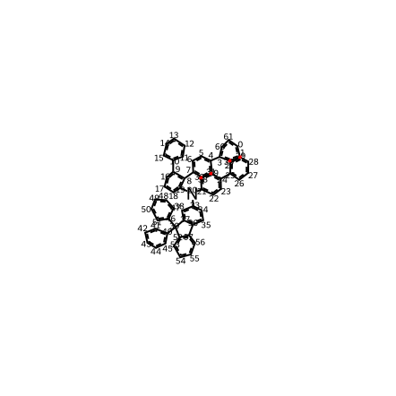 c1ccc(-c2ccc(-c3c(-c4ccccc4)cccc3N(c3ccc(-c4ccccc4)cc3)c3ccc4c(c3)C(c3ccccc3)(c3ccccc3)c3ccccc3-4)cc2)cc1